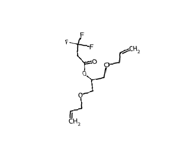 C=CCOCC(COCC=C)OC(=O)CC(F)(F)F